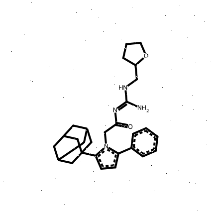 N/C(=N\C(=O)Cn1c(-c2ccccc2)ccc1C12CC3CC(CC(C3)C1)C2)NCC1CCCO1